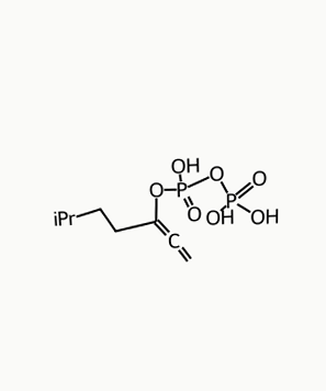 C=C=C(CCC(C)C)OP(=O)(O)OP(=O)(O)O